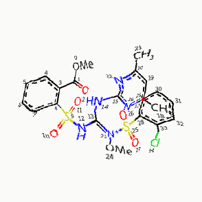 COC(=O)c1ccccc1S(=O)(=O)NC(Nc1nc(C)cc(C)n1)=[N+](OC)S(=O)(=O)c1ccccc1Cl